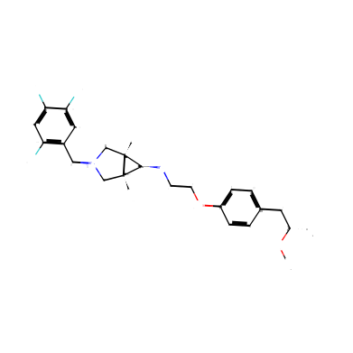 CCO[C@H](Cc1ccc(OCCN[C@H]2[C@@H]3CN(Cc4cc(F)c(F)cc4F)C[C@@H]32)cc1)C(=O)O